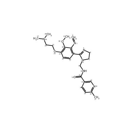 C=Nc1c(C2=NCCN2CNC(=O)c2ccc(C)nc2)ccc(OCCN(C)C)c1OC